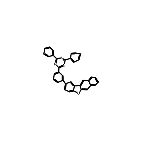 c1ccc(-c2nc(-c3ccccc3)nc(-c3cccc(-c4ccc5oc6cc7ccccc7cc6c5c4)c3)n2)cc1